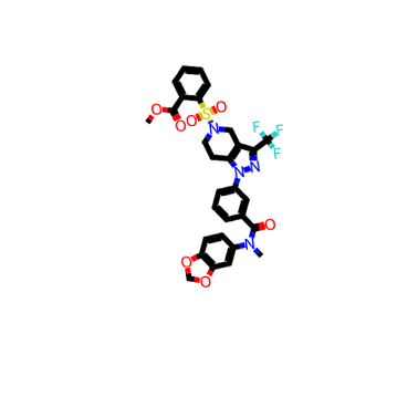 COC(=O)c1ccccc1S(=O)(=O)N1CCc2c(c(C(F)(F)F)nn2-c2cccc(C(=O)N(C)c3ccc4c(c3)OCO4)c2)C1